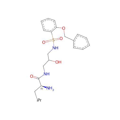 CC(C)C[C@H](N)C(=O)NCC(O)CNS(=O)(=O)c1ccccc1OCc1ccccc1